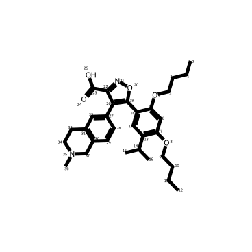 CCCCOc1cc(OCCCC)c(C(C)C)cc1-c1onc(C(=O)O)c1-c1ccc2c(c1)CCN(C)C2